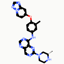 Cc1cc(Nc2ncnc3cnc(N4CCN[C@@H](C)C4)nc23)ccc1Oc1ccn2ncnc2c1